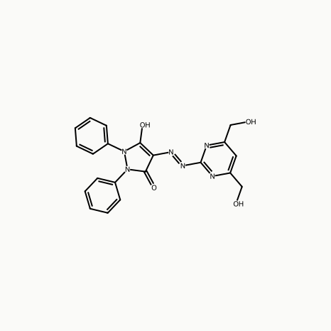 O=c1c(N=Nc2nc(CO)cc(CO)n2)c(O)n(-c2ccccc2)n1-c1ccccc1